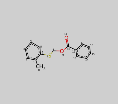 Cc1ccccc1SCOC(=O)c1ccccc1